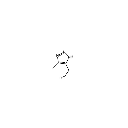 CCCCc1[nH]nnc1C